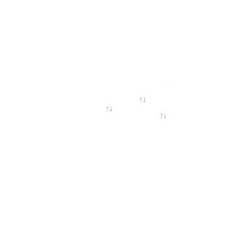 Clc1nccc(-n2ccc3ccccc32)n1